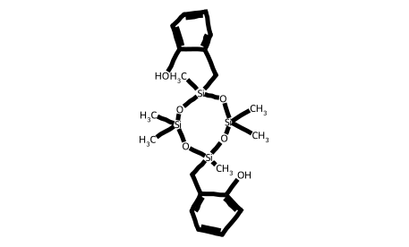 C[Si]1(C)O[Si](C)(Cc2ccccc2O)O[Si](C)(C)O[Si](C)(Cc2ccccc2O)O1